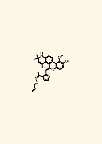 C=CCO/N=C(/C)c1ccsc1/C=C1\Oc2ccc(O)c(OC)c2-c2ccc3c(c21)C(C)=CC(C)(C)N3